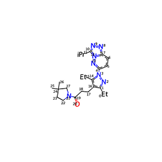 CCc1nn(-c2ccc3nnc(C(C)C)n3n2)c(CC)c1CCC(=O)N1CCC(C)(C)C1